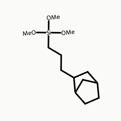 CO[Si](CCCC1CC2CCC1C2)(OC)OC